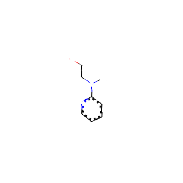 O=C(O)N(CCO)c1ccccn1